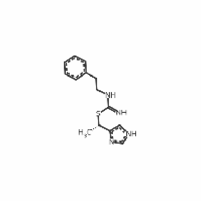 C[C@H](SC(=N)NCCc1ccccc1)c1c[nH]cn1